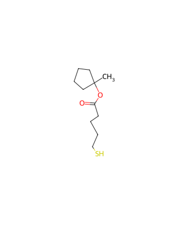 CC1(OC(=O)CCCCS)CCCC1